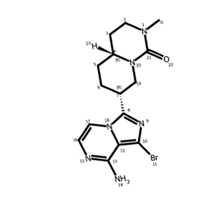 CN1CC[C@H]2CC[C@@H](c3nc(Br)c4c(N)nccn34)CN2C1=O